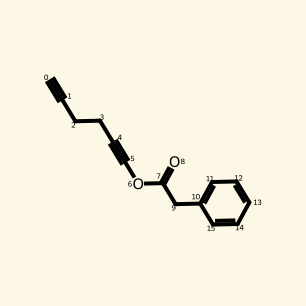 C#CCCC#COC(=O)Cc1ccccc1